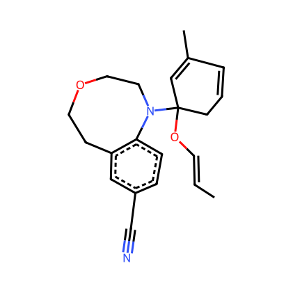 CC=COC1(N2CCOCCc3cc(C#N)ccc32)C=C(C)C=CC1